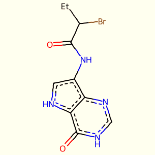 CCC(Br)C(=O)Nc1c[nH]c2c(=O)[nH]cnc12